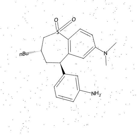 CCCC[C@H]1C[C@H](c2cccc(N)c2)c2cc(N(C)C)ccc2S(=O)(=O)C1